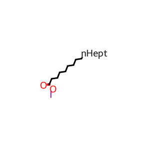 CCCCCCCCCCCCCCCC(=O)OI